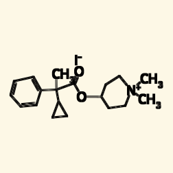 CC(C(=O)OC1CC[N+](C)(C)CC1)(c1ccccc1)C1CC1.[I-]